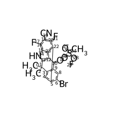 CC1(C)c2cc3c(Br)cc2C(=O)c2c1[nH]c1c(F)c(C#N)c(F)c-3c21.CS(=O)(=O)OF